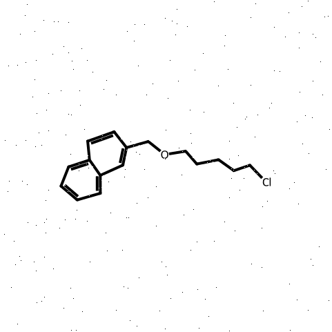 ClCCCCCOCc1ccc2ccccc2c1